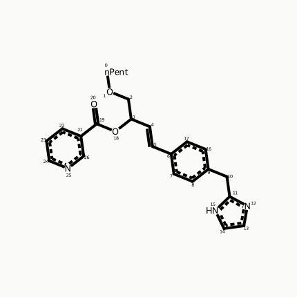 CCCCCOCC(C=Cc1ccc(Cc2ncc[nH]2)cc1)OC(=O)c1cccnc1